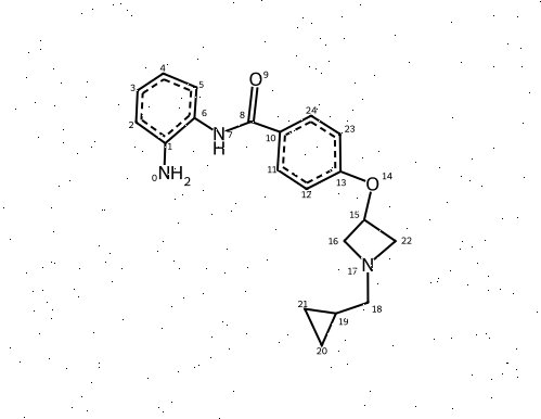 Nc1ccccc1NC(=O)c1ccc(OC2CN(CC3CC3)C2)cc1